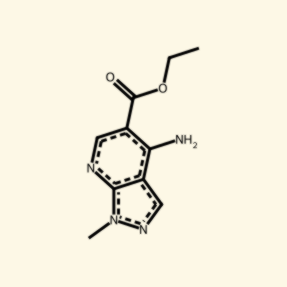 CCOC(=O)c1cnc2c(cnn2C)c1N